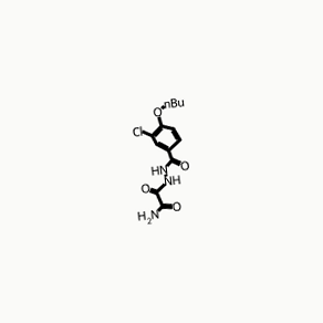 CCCCOc1ccc(C(=O)NNC(=O)C(N)=O)cc1Cl